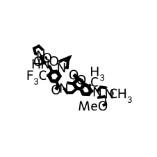 COC[C@H]1CN(c2ccc3c4c(c(=O)oc3c2C)CN(C(=O)c2cc(N3CC5CC5C3)c(C(=O)NS(=O)(=O)N3CCCC3)c(C(F)(F)F)c2)CC4)CCN1C